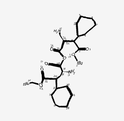 CC(C)(C)OC(=O)C(C1CCCCC1)[C@H](N)C(=O)OC(=O)[C@H](N)C(C(=O)OC(C)(C)C)C1CCCCC1